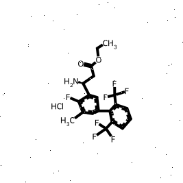 CCOC(=O)C[C@H](N)c1cc(-c2c(C(F)(F)F)cccc2C(F)(F)F)cc(C)c1F.Cl